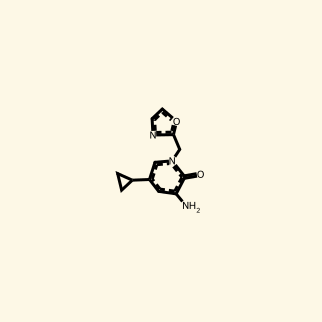 Nc1cc(C2CC2)cn(Cc2ncco2)c1=O